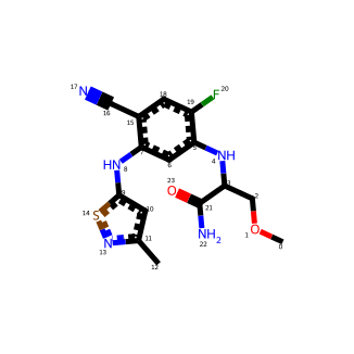 COCC(Nc1cc(Nc2cc(C)ns2)c(C#N)cc1F)C(N)=O